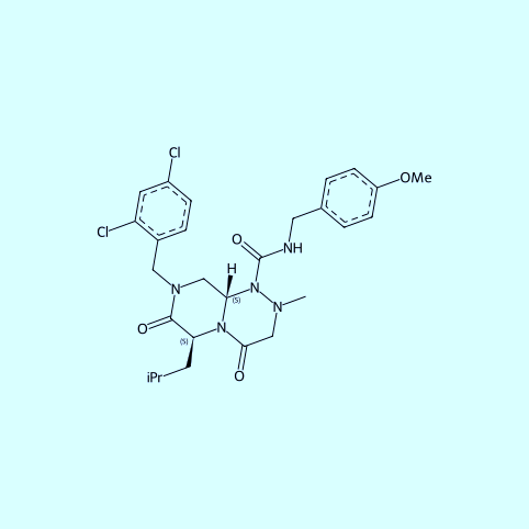 COc1ccc(CNC(=O)N2[C@H]3CN(Cc4ccc(Cl)cc4Cl)C(=O)[C@H](CC(C)C)N3C(=O)CN2C)cc1